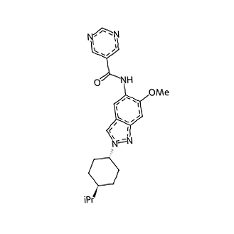 COc1cc2nn([C@H]3CC[C@H](C(C)C)CC3)cc2cc1NC(=O)c1cncnc1